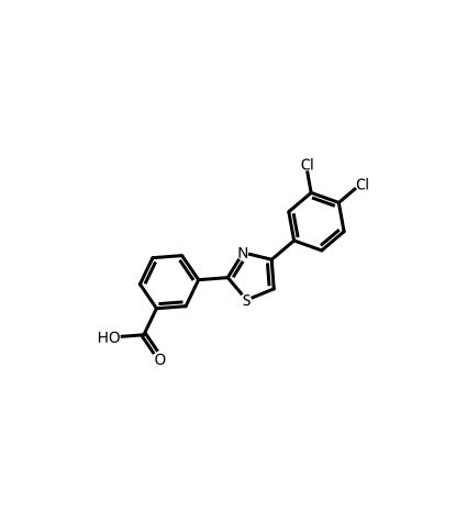 O=C(O)c1cccc(-c2nc(-c3ccc(Cl)c(Cl)c3)cs2)c1